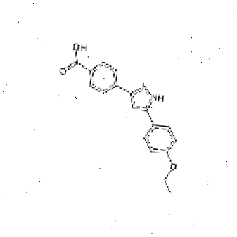 CCOc1ccc(-c2cc(-c3ccc(C(=O)O)cc3)n[nH]2)cc1